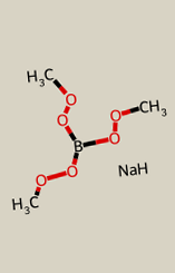 COOB(OOC)OOC.[NaH]